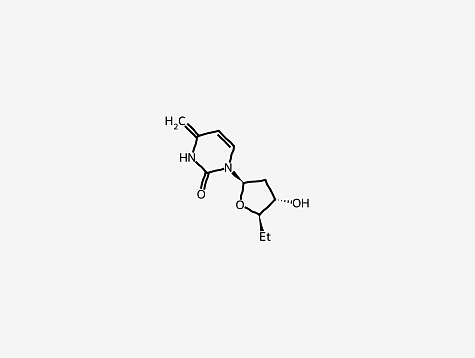 C=C1C=CN([C@H]2C[C@H](O)[C@@H](CC)O2)C(=O)N1